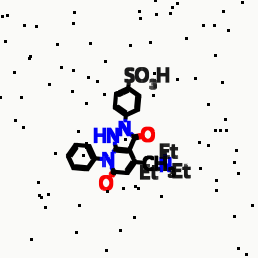 CCN(CC)CC.Cc1cc(=O)n(-c2ccccc2)c2[nH]n(-c3ccc(S(=O)(=O)O)cc3)c(=O)c12